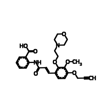 C#CCOc1ccc(/C=C/C(=O)Nc2ccccc2C(=O)O)c(OCCN2CCOCC2)c1OC